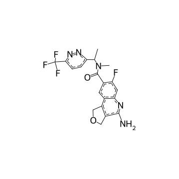 CC(c1ccc(C(F)(F)F)nn1)N(C)C(=O)c1cc2c3c(c(N)nc2cc1F)COC3